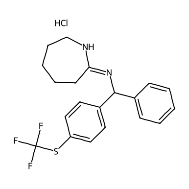 Cl.FC(F)(F)Sc1ccc(C(N=C2CCCCCN2)c2ccccc2)cc1